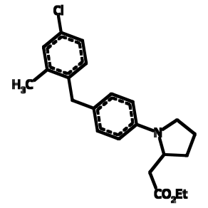 CCOC(=O)CC1CCCN1c1ccc(Cc2ccc(Cl)cc2C)cc1